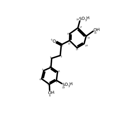 O=C(CCc1ccc(O)c(S(=O)(=O)O)c1)c1ccc(O)c(S(=O)(=O)O)c1